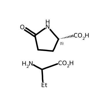 CCC(N)C(=O)O.O=C1CC[C@@H](C(=O)O)N1